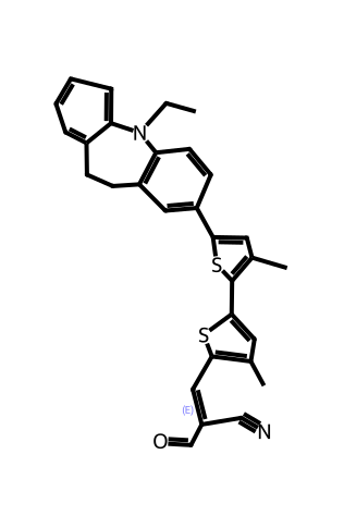 CCN1c2ccccc2CCc2cc(-c3cc(C)c(-c4cc(C)c(/C=C(\C#N)C=O)s4)s3)ccc21